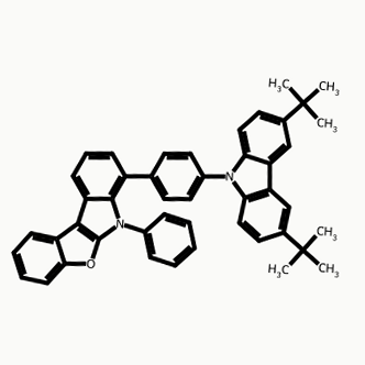 CC(C)(C)c1ccc2c(c1)c1cc(C(C)(C)C)ccc1n2-c1ccc(-c2cccc3c4c5ccccc5oc4n(-c4ccccc4)c23)cc1